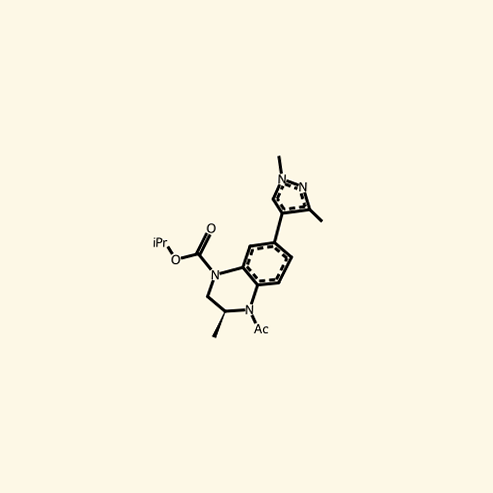 CC(=O)N1c2ccc(-c3cn(C)nc3C)cc2N(C(=O)OC(C)C)C[C@@H]1C